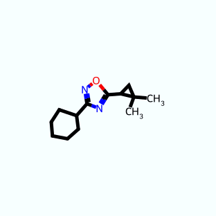 CC1(C)CC1c1nc(C2CCCCC2)no1